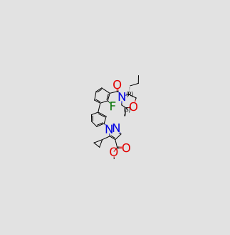 CCC[C@@H]1CO[C@@H](C)CN1C(=O)c1cccc(-c2cccc(-n3ncc(C(=O)OC)c3C3CC3)c2)c1F